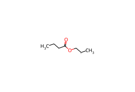 C[CH]COC(=O)CCC